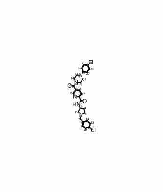 O=C(NC1CCN(Cc2ccc(Cl)cc2)C1)c1ccc(C(=O)N2CCN(c3ccc(Cl)cc3)CC2)cn1